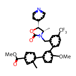 COC(=O)c1ccc(-c2ccc(OC)c(-c3ccc(C(F)(F)F)cc3CN3C(=O)O[C@H](c4ccncc4)[C@@H]3C)c2)c(C)c1